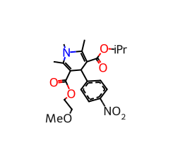 COCCOC(=O)C1=C(C)N(C)C(C)=C(C(=O)OC(C)C)C1c1ccc([N+](=O)[O-])cc1